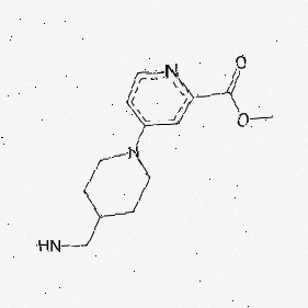 COC(=O)c1cc(N2CCC(C[NH])CC2)ccn1